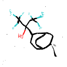 C[C@@H]1CC2CC1CC2C(O)(C(F)(F)F)C(F)(F)F